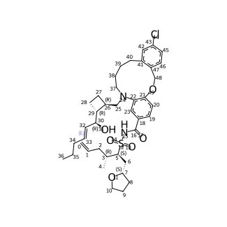 C=CC[C@@H](C)[C@H](C[C@@H]1CCCO1)S(=O)(=O)NC(=O)c1ccc2c(c1)N(C[C@@H]1CC[C@H]1[C@@H](O)/C=C/CCC)CCCCc1cc(Cl)ccc1CO2